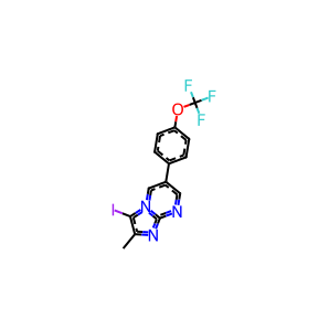 Cc1nc2ncc(-c3ccc(OC(F)(F)F)cc3)cn2c1I